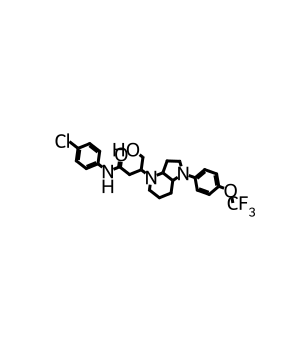 O=C(CC(CO)N1CCCC2C1CCN2c1ccc(OC(F)(F)F)cc1)Nc1ccc(Cl)cc1